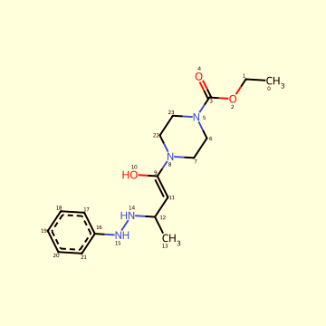 CCOC(=O)N1CCN(/C(O)=C/C(C)NNc2ccccc2)CC1